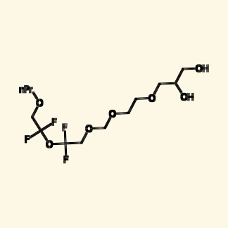 CCCOCC(F)(F)OC(F)(F)COCOCCOCC(O)CO